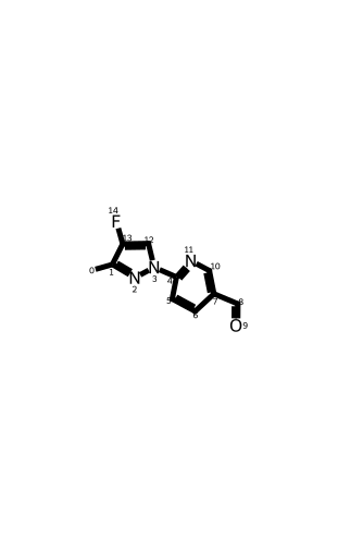 Cc1nn(-c2ccc(C=O)cn2)cc1F